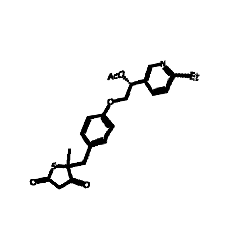 CCc1ccc([C@H](COc2ccc(CC3(C)SC(=O)CC3=O)cc2)OC(C)=O)cn1